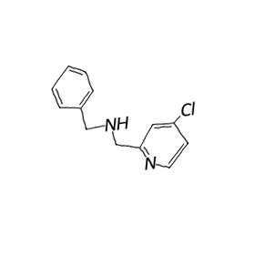 Clc1ccnc(CNCc2ccccc2)c1